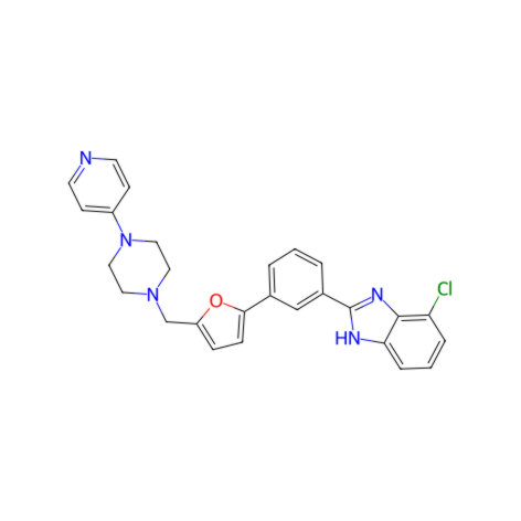 Clc1cccc2[nH]c(-c3cccc(-c4ccc(CN5CCN(c6ccncc6)CC5)o4)c3)nc12